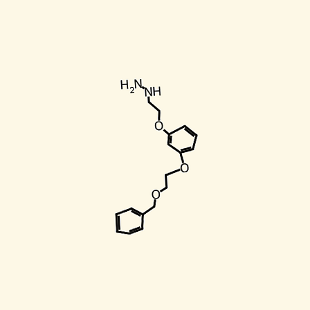 NNCCOc1cccc(OCCOCc2ccccc2)c1